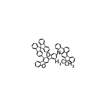 CC1(C)c2ccccc2-c2ccc(N(c3ccc4c(c3)oc3c(-c5ccc6c(c5)C5(c7ccccc7-c7ccccc75)c5ccccc5-6)c5c(cc34)oc3ccccc35)c3ccccc3-c3ccccc3)cc21